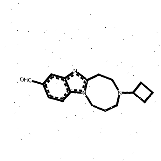 O=Cc1ccc2c(c1)nc1n2CCCN(C2CCC2)CC1